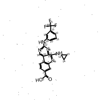 O=C(O)c1ccc2c(c1)nc(NC1CC1)c1nc(Nc3cccc(C(F)(F)F)c3)ncc12